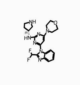 FC(F)c1nc2ccccc2n1-c1cc(N2CCOCC2)nc(N[C@@H]2CCNC2)n1